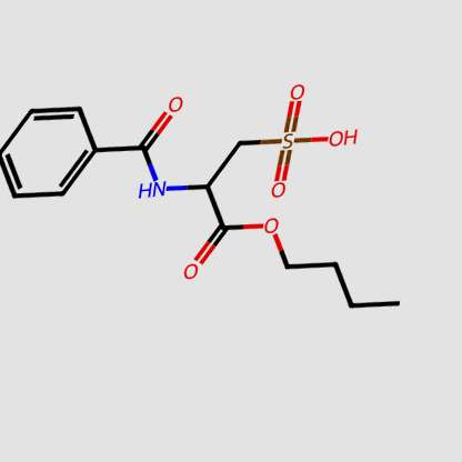 CCCCOC(=O)C(CS(=O)(=O)O)NC(=O)c1ccccc1